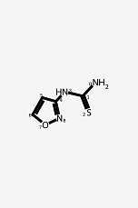 NC(=S)Nc1ccon1